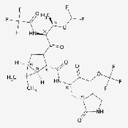 C[C@@H](OC(F)F)[C@H](NC(=O)C(F)(F)F)C(=O)C1C[C@H]2[C@@H]([C@H]1C(=O)N[C@@H](C[C@@H]1CCNC1=O)C(=O)COC(F)(F)F)C2(C)C